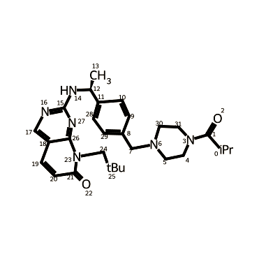 CC(C)C(=O)N1CCN(Cc2ccc([C@H](C)Nc3ncc4ccc(=O)n(CC(C)(C)C)c4n3)cc2)CC1